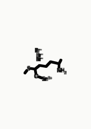 CSC(CCCC(C)N)[O][Sn+3].[Br-].[Br-].[Br-]